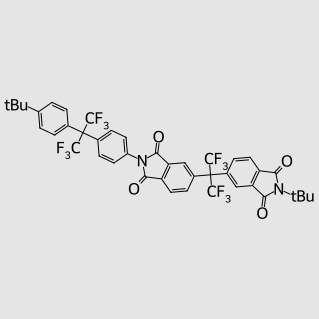 CC(C)(C)c1ccc(C(c2ccc(N3C(=O)c4ccc(C(c5ccc6c(c5)C(=O)N(C(C)(C)C)C6=O)(C(F)(F)F)C(F)(F)F)cc4C3=O)cc2)(C(F)(F)F)C(F)(F)F)cc1